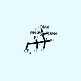 CO[Si](OC)(OC)C(F)(F)C(F)(F)CC(F)(F)F